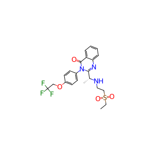 CCS(=O)(=O)CCN[C@H](C)c1nc2ccccc2c(=O)n1-c1ccc(OCC(F)(F)F)cc1